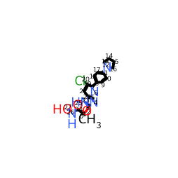 CC(Oc1nc2nc(-c3ccc(N4CCCC4)cc3)c(Cl)cc2[nH]1)C(=O)NO